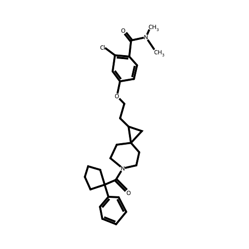 CN(C)C(=O)c1ccc(OCCC2CC23CCN(C(=O)C2(c4ccccc4)CCCC2)CC3)cc1Cl